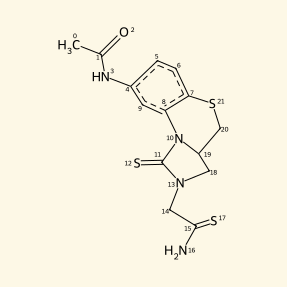 CC(=O)Nc1ccc2c(c1)N1C(=S)N(CC(N)=S)CC1CS2